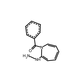 NNC1=CC=CC=CN1C(=O)c1ccccc1